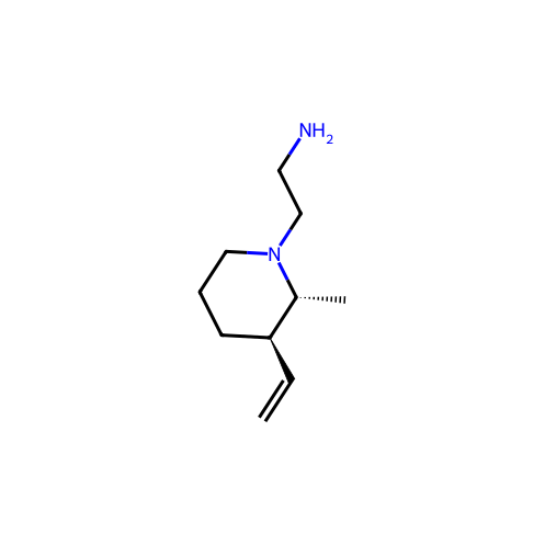 C=C[C@H]1CCCN(CCN)[C@@H]1C